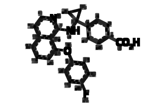 O=C(O)c1ccc(C2(Nc3nccc4cccc(Oc5ccc(F)cc5)c34)CC2)cc1